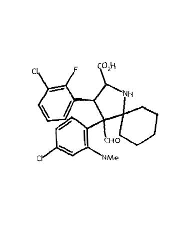 CNc1cc(Cl)ccc1C1(C=O)[C@@H](c2cccc(Cl)c2F)C(C(=O)O)NC12CCCCC2